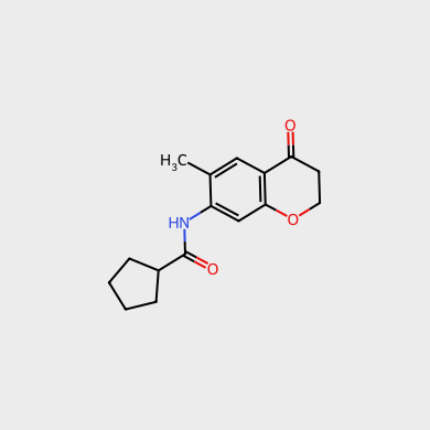 Cc1cc2c(cc1NC(=O)C1CCCC1)OCCC2=O